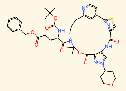 CC(C)(C)OC(=O)N[C@H](CCC(=O)OCc1ccccc1)C(=O)N1CCCc2cc(ccn2)-c2nc(cs2)C(=O)Nc2cn(C3CCOCC3)nc2C(=O)OC1(C)C